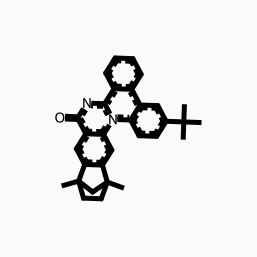 CC(C)(C)c1ccc2c(c1)c1ccccc1c1nc(=O)c3cc4c(cc3n21)C1(C)CCC4(C)C1